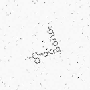 C1=NC=NC1.C1=NC=NC1.C1=NC=NC1.C1=NC=NC1.C1=NC=NC1.C1=NC=NC1.O=C([O-])c1ccccc1C(=O)[O-].[Ni+2]